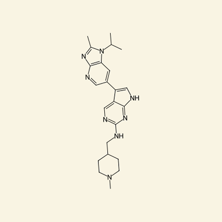 Cc1nc2ncc(-c3c[nH]c4nc(NCC5CCN(C)CC5)ncc34)cc2n1C(C)C